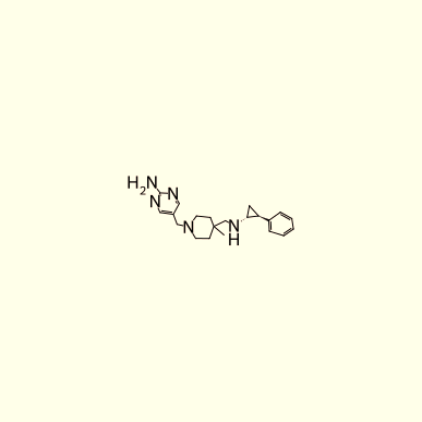 CC1(CN[C@@H]2C[C@H]2c2ccccc2)CCN(Cc2cnc(N)nc2)CC1